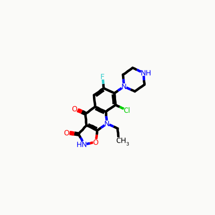 CCn1c2o[nH]c(=O)c2c(=O)c2cc(F)c(N3CCNCC3)c(Cl)c21